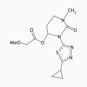 COCC(=O)OC1CCN(C)C(=O)N1c1nnc(C2CC2)s1